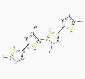 Cc1ccc(-c2cc(C)c(-c3sc(-c4ccc(C)s4)cc3C)s2)s1